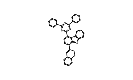 C1=C(c2ccc(-c3nc(-c4ccccc4)nc(-c4ccccc4)n3)c3c2oc2ccccc23)CCc2ccccc21